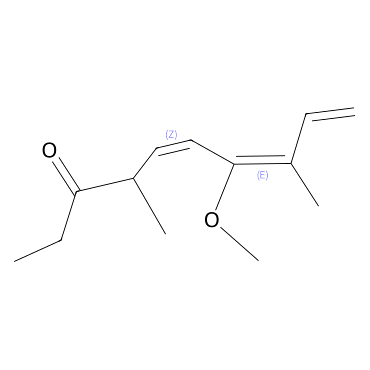 C=C/C(C)=C(\C=C/C(C)C(=O)CC)OC